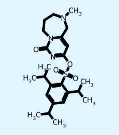 CC(C)c1cc(C(C)C)c(S(=O)(=O)Oc2cc3n(c(=O)n2)CCCN(C)C3)c(C(C)C)c1